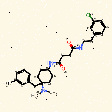 Cc1cccc(CC2(N(C)C)CCC(NC(=O)CCC(=O)NCCc3cccc(Cl)c3)CC2)c1